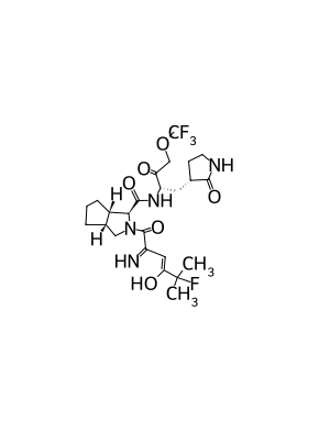 CC(C)(F)/C(O)=C/C(=N)C(=O)N1C[C@@H]2CCC[C@@H]2[C@H]1C(=O)N[C@@H](C[C@@H]1CCNC1=O)C(=O)COC(F)(F)F